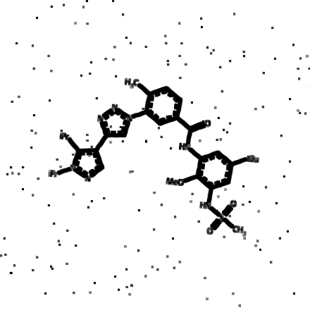 COc1c(NC(=O)c2ccc(C)c(-n3cc(-c4cnn(C(C)C)c4C(C)C)nn3)c2)cc(C(C)(C)C)cc1NS(C)(=O)=O